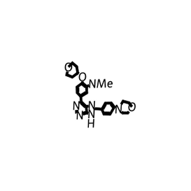 CNc1cc(-c2ncnc3[nH]c(-c4ccc(N5CCOCC5)cc4)nc23)ccc1OC1CCOCC1